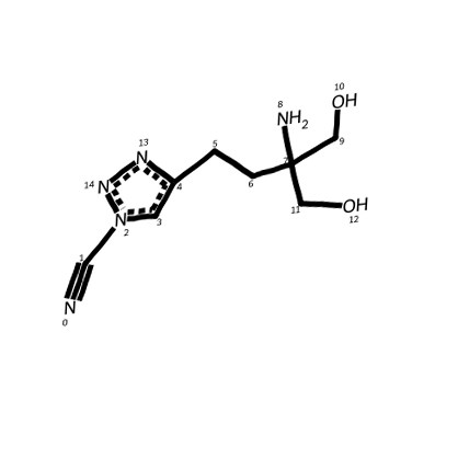 N#Cn1cc(CCC(N)(CO)CO)nn1